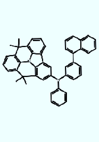 CC1(C)c2cccc3c2-n2c4c1cccc4c1cc(N(c4ccccc4)c4cccc(-c5cccc6ccccc56)c4)cc(c12)C3(C)C